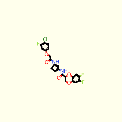 O=C(COc1ccc(Cl)c(F)c1)NC12CC(C1)C(NC(=O)C1COc3cc(F)c(F)cc3O1)C2